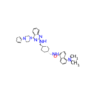 CN(C)c1cccc2c(ONC[C@H]3CC[C@H](CNc4nc(N5CCN(c6ccccc6)CC5)c5ccccc5n4)CC3)cccc12